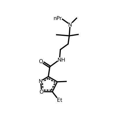 CCCN(C)C(C)(C)CCNC(=O)c1noc(CC)c1C